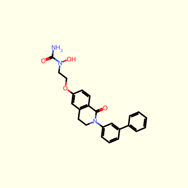 NC(=O)N(O)CCOc1ccc2c(c1)CCN(c1cccc(-c3ccccc3)c1)C2=O